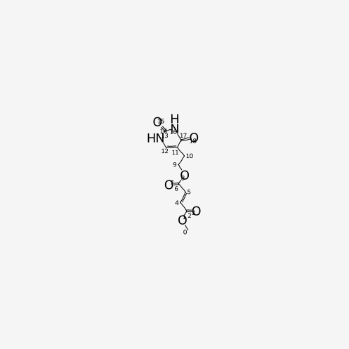 COC(=O)/C=C/C(=O)OCCc1c[nH]c(=O)[nH]c1=O